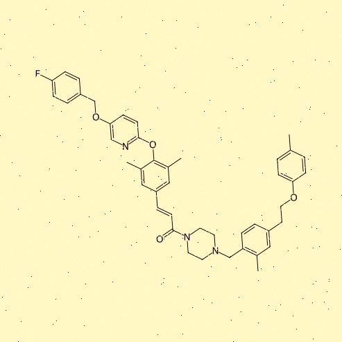 Cc1ccc(OCCc2ccc(CN3CCN(C(=O)/C=C/c4cc(C)c(Oc5ccc(OCc6ccc(F)cc6)cn5)c(C)c4)CC3)c(C)c2)cc1